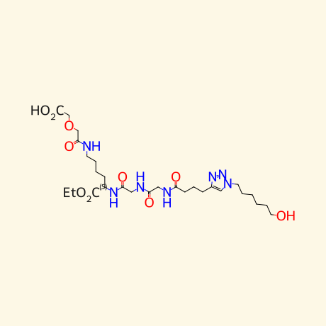 CCOC(=O)[C@H](CCCCNC(=O)COCC(=O)O)NC(=O)CNC(=O)CNC(=O)CCCc1cn(CCCCCCO)nn1